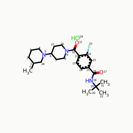 CC1CCCN(C2CCN(C(=O)c3ccc(C(=O)NC(C)(C)C)cc3F)CC2)C1.Cl